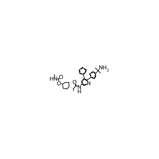 CNC(=O)O[C@H]1CC[C@H](C(C)C(=O)Nc2cnc(-c3ccc(C(C)(C)N)cc3)c(-c3ccccc3)c2)CC1